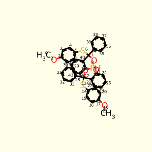 COc1ccc(SC(O[PH](=O)OC(Sc2ccc(OC)cc2)(c2ccccc2)c2ccccc2)(c2ccccc2)c2ccccc2)cc1